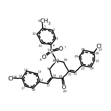 Cc1ccc(S(=O)(=O)N2C/C(=C\c3ccc(Cl)cc3)C(=O)/C(=C/c3ccc(Cl)cc3)C2)cc1